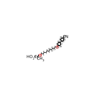 CC(=COCCCCCCCCCCCOc1ccc(-c2ccc(C#N)cc2)cc1)C(=O)O